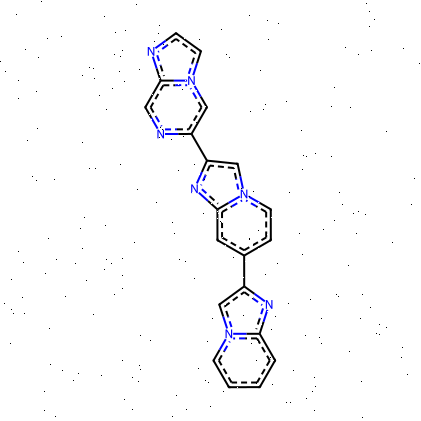 c1ccn2cc(-c3ccn4cc(-c5cn6ccnc6cn5)nc4c3)nc2c1